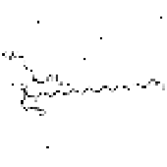 CCCCC=C(C)C(CCCCCCCCCCCCCC)N1C(=O)CCC1=O